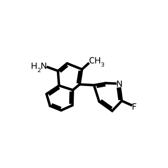 Cc1cc(N)c2ccccc2c1-c1ccc(F)nc1